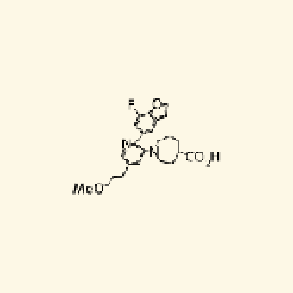 COCCCc1cnc(-c2cc(F)c3occc3c2)c(N2CCCC(C(=O)O)CC2)c1